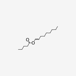 CCCCCCC/C=C/OC(=O)CCCC